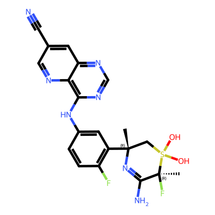 C[C@]1(F)C(N)=N[C@](C)(c2cc(Nc3ncnc4cc(C#N)cnc34)ccc2F)CS1(O)O